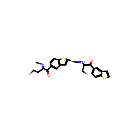 CNC(CCBr)C(=O)c1ccc2sc(CCNC(CBr)C(=O)c3ccc4sccc4c3)cc2c1